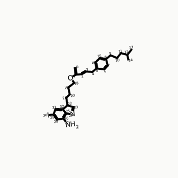 C=C(/C=C/Cc1ccc(CCCC(C)C)cc1)OCCCCC1C=Nc2c(N)cc(I)cc21